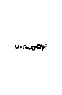 COCC=CC1CCC(c2ccc(OC(F)F)cc2)CC1